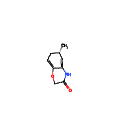 C[C@@H]1C=C2NC(=O)COC2=CC1